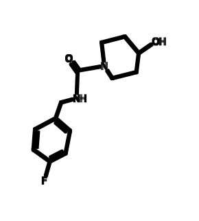 O=C(NCc1ccc(F)cc1)N1CCC(O)CC1